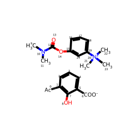 CC(=O)c1cccc(C(=O)[O-])c1O.CN(C)C(=O)Oc1cccc([N+](C)(C)C)c1